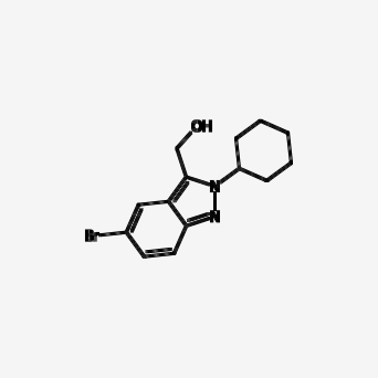 OCc1c2cc(Br)ccc2nn1C1CCCCC1